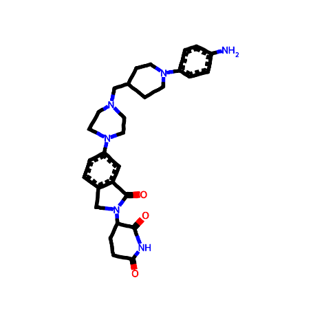 Nc1ccc(N2CCC(CN3CCN(c4ccc5c(c4)C(=O)N(C4CCC(=O)NC4=O)C5)CC3)CC2)cc1